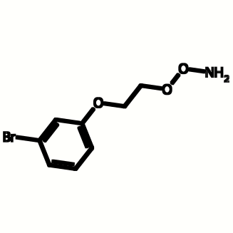 NOOCCOc1cccc(Br)c1